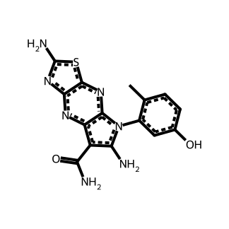 Cc1ccc(O)cc1-n1c(N)c(C(N)=O)c2nc3nc(N)sc3nc21